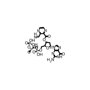 NCc1nccnc1C(=O)O[C@@H]1C[C@H](n2cnc3c(=O)[nH]c(N)nc32)OC1COP(=O)(O)OP(=O)(O)OP(=O)(O)O